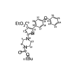 CCOC(=O)c1sc(N2CCN(C(=O)OC(C)(C)C)CC2)nc1-c1ccc(Oc2ccccc2)cc1